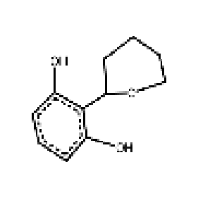 Oc1cccc(O)c1C1CCCCC1